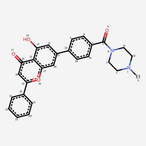 CCN1CCN(C(=O)c2ccc(-c3cc(O)c4c(=O)cc(-c5ccccc5)oc4c3)cc2)CC1